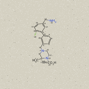 CC(C)(C)[C@]1(C)CN(Cc2cccc(-c3cc(CN)ccc3F)c2)CCN1C(=O)O